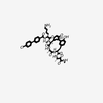 CNC(=O)C(=O)[C@H](C)NC(=O)[C@@H]1Cc2ccc(O)c(c2)-c2cc(ccc2O)[C@H](N(C)C(=O)[C@H](CCCCN)NC(=O)c2ccc(-c3ccc(Cl)cc3)cc2)C(=O)N[C@@H](C)C(=O)N1